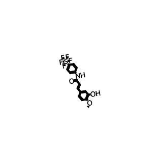 COc1ccc(/C=C/C(=O)Nc2ccc(S(F)(F)(F)(F)F)cc2)cc1O